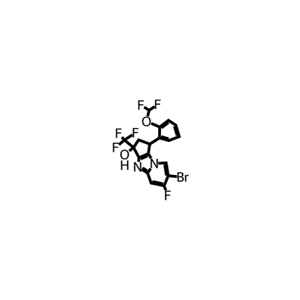 OC1(C(F)(F)F)CC(c2ccccc2OC(F)F)c2c1nc1cc(F)c(Br)cn21